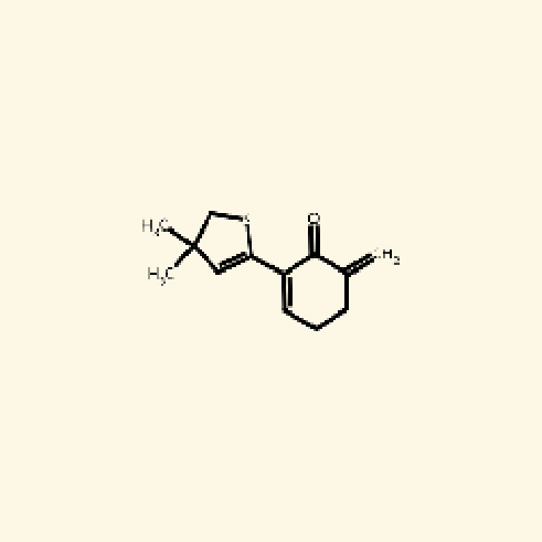 C=C1CCC=C(C2=CC(C)(C)CS2)C1=O